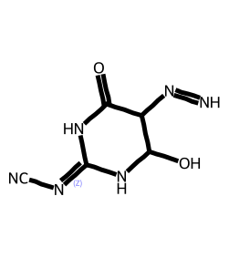 N#C/N=C1\NC(=O)C(N=N)C(O)N1